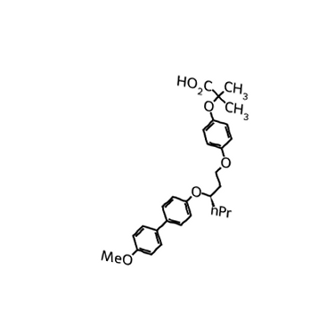 CCC[C@H](CCOc1ccc(OC(C)(C)C(=O)O)cc1)Oc1ccc(-c2ccc(OC)cc2)cc1